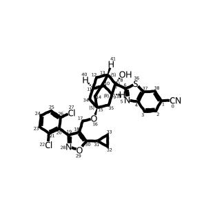 N#Cc1ccc2nc([C@@]3(O)[C@@H]4C[C@@H]5C[C@H]3C[C@@](OCc3c(-c6c(Cl)cccc6Cl)noc3C3CC3)(C5)C4)sc2c1